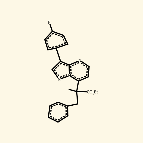 CCOC(=O)C(C)(Cc1ccccc1)c1ccnc2c(-c3ccc(F)cc3)cnn12